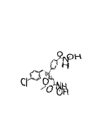 CCO[C@H](CC(=O)NO)[C@H](Cc1ccc(Cl)cc1)c1ccc(C(=O)NO)cc1